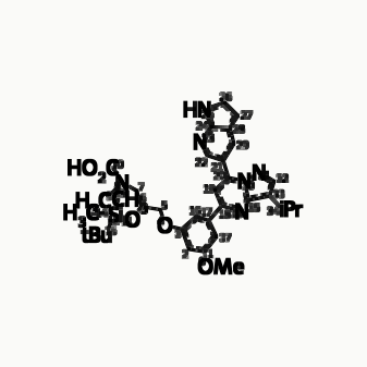 COc1cc(OCC(CN(C)C(=O)O)O[Si](C)(C)C(C)(C)C)cc(-c2cc(-c3cnc4[nH]ccc4c3)n3ncc(C(C)C)c3n2)c1